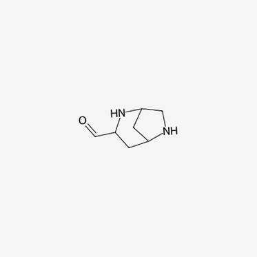 O=CC1CC2CC(CN2)N1